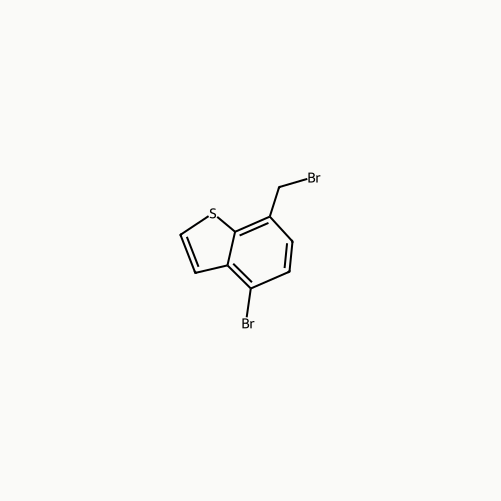 BrCc1ccc(Br)c2ccsc12